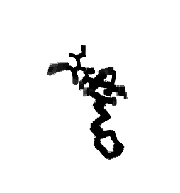 CCC(C)C(NC(=O)C(O)(NC(=O)CCCc1ccccc1)C(C)(C)N)C(=O)O